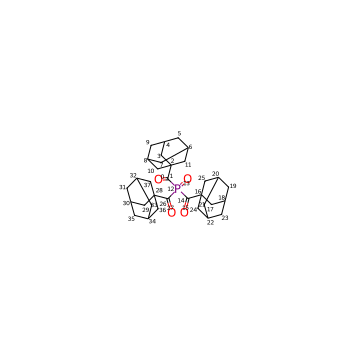 O=C(C12CC3CC(CC(C3)C1)C2)P(=O)(C(=O)C12CC3CC(CC(C3)C1)C2)C(=O)C12CC3CC(CC(C3)C1)C2